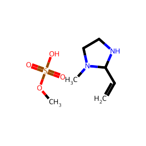 C=CC1NCCN1C.COS(=O)(=O)O